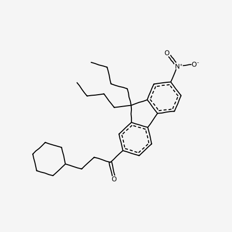 CCCCC1(CCCC)c2cc(C(=O)CCC3CCCCC3)ccc2-c2ccc([N+](=O)[O-])cc21